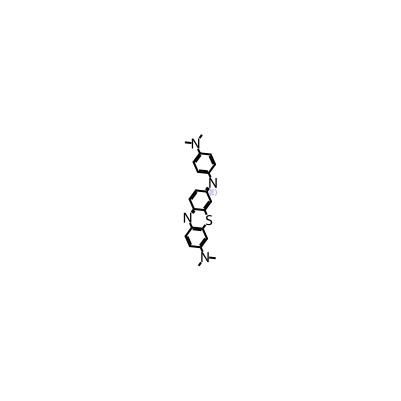 CN(C)c1ccc(/N=c2\ccc3nc4ccc(N(C)C)cc4sc-3c2)cc1